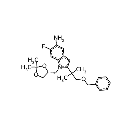 CC1(C)OC[C@@H](Cn2c(C(C)(C)COCc3ccccc3)cc3cc(N)c(F)cc32)O1